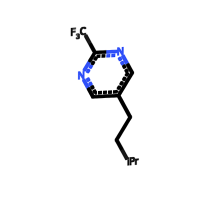 CC(C)CCc1cnc(C(F)(F)F)nc1